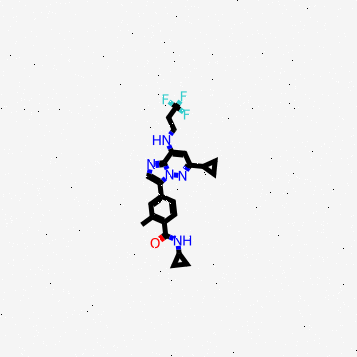 Cc1cc(-c2cnc3c(NCCC(F)(F)F)cc(C4CC4)nn23)ccc1C(=O)NC1CC1